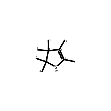 CC1=C(C)C(C)(C)C(C)(C)S1